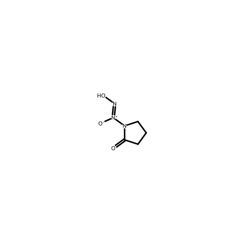 O=C1CCCN1[N+]([O-])=NO